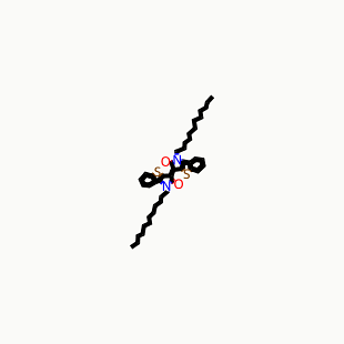 CCCCCCCCCCCCN1C(=O)C(=C2C(=O)N(CCCCCCCCCCCC)c3c2sc2ccccc32)c2sc3ccccc3c21